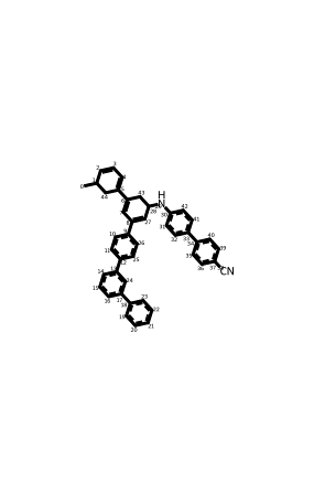 CC1C=CC=C(C2=CC(c3ccc(-c4cccc(-c5ccccc5)c4)cc3)=CC(Nc3ccc(-c4ccc(C#N)cc4)cc3)C2)C1